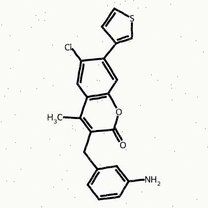 Cc1c(Cc2cccc(N)c2)c(=O)oc2cc(-c3ccsc3)c(Cl)cc12